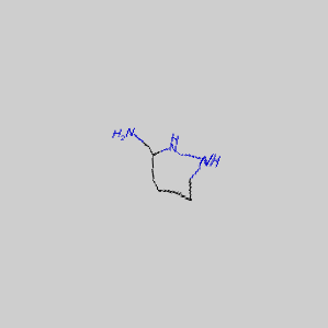 NC1CCNN1